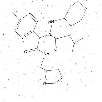 Cc1ccc(C(C(=O)NCC2CCCO2)N(NC2CCCCC2)C(=O)CN(C)C)cc1